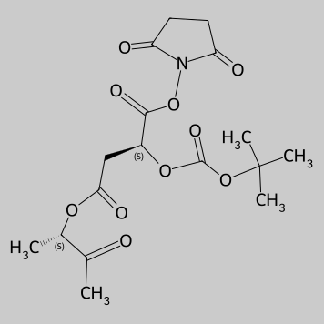 CC(=O)[C@H](C)OC(=O)C[C@H](OC(=O)OC(C)(C)C)C(=O)ON1C(=O)CCC1=O